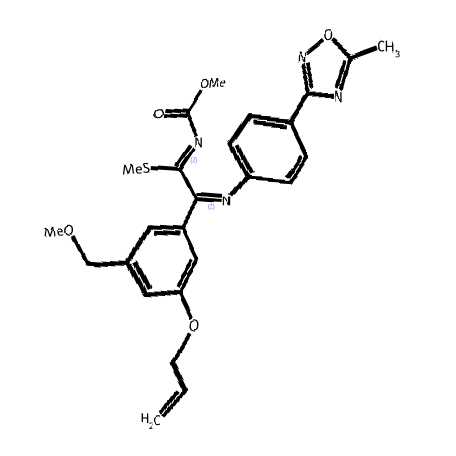 C=CCOc1cc(COC)cc(C(=N/c2ccc(-c3noc(C)n3)cc2)/C(=N/C(=O)OC)SC)c1